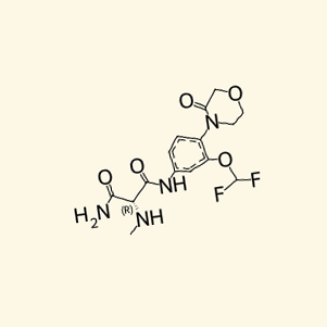 CN[C@H](C(N)=O)C(=O)Nc1ccc(N2CCOCC2=O)c(OC(F)F)c1